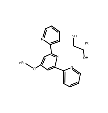 CCCCOc1cc(-c2ccccn2)nc(-c2ccccn2)c1.OCCS.[Pt]